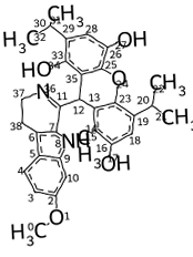 COc1ccc2c3c([nH]c2c1)C(C1c2c(C)c(O)cc(C(C)C)c2Oc2c(O)cc(C(C)C)c(O)c21)=NCC3